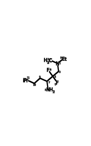 CCN(C)CC(F)(F)C(N)CCC(C)C